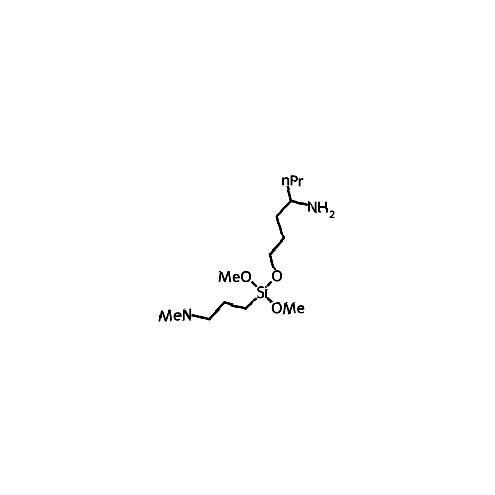 CCCC(N)CCCO[Si](CCCNC)(OC)OC